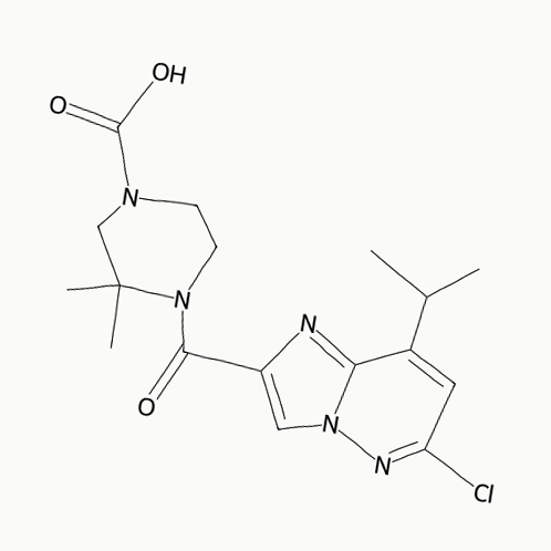 CC(C)c1cc(Cl)nn2cc(C(=O)N3CCN(C(=O)O)CC3(C)C)nc12